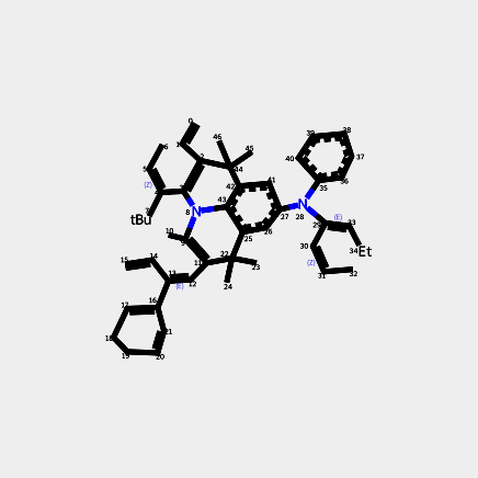 C=CC1=C(/C(=C\C)C(C)(C)C)N2C(C)=C(/C=C(\C=C)C3=CCCC=C3)C(C)(C)c3cc(N(C(/C=C\C)=C/CC)c4ccccc4)cc(c32)C1(C)C